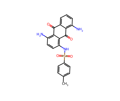 Cc1ccc(S(=O)(=O)Nc2ccc(N)c3c2C(=O)c2c(N)cccc2C3=O)cc1